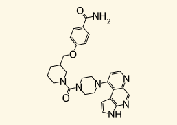 NC(=O)c1ccc(OCC2CCCN(C(=O)N3CCN(c4ccnc5cnc6[nH]ccc6c45)CC3)C2)cc1